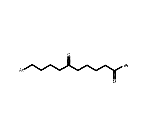 CCCC(=O)CCCCC(=O)CCCCC(C)=O